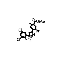 COC(=O)c1cc(Br)c(C2=NOC(c3cc(Cl)cc(Cl)c3)(C(F)(F)F)C2)cc1C